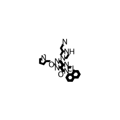 Cc1nc2c(N3CCNC(CC#N)C3)nc(OCC3CCCN3C)nc2c(=O)n1-c1cccc2cccc(Cl)c12